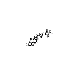 N#CC1(NC(=O)Cc2nnc(Cc3nc4ccc(-c5ccccc5F)c(F)c4s3)o2)CC1